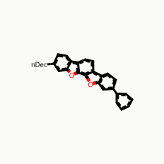 CCCCCCCCCCc1ccc2c(c1)oc1c2ccc2c3ccc(-c4ccccc4)cc3oc21